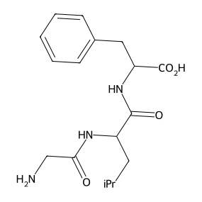 CC(C)CC(NC(=O)CN)C(=O)NC(Cc1ccccc1)C(=O)O